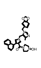 Cc1ncn(Cc2ccc3c(c2)OCO3)c1Cn1cc(C(=O)N2CCN(O)CC2)c(-c2cccc3ccccc23)c1